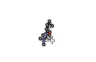 C=C(/N=C(\N=C\c1ccccc1)c1ccccc1)/C(C)=C/C(=C(\Cc1ccccc1)n1c2ccccc2c2c3oc4c(ccc5c6ccccc6n(-c6ccccc6)c54)c3ccc21)c1ccccc1